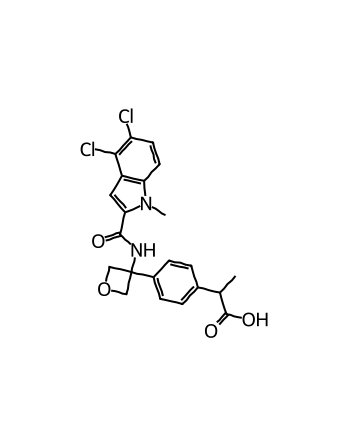 CC(C(=O)O)c1ccc(C2(NC(=O)c3cc4c(Cl)c(Cl)ccc4n3C)COC2)cc1